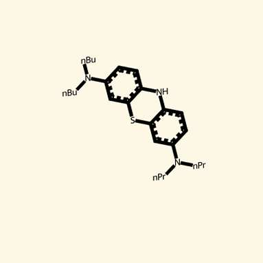 CCCCN(CCCC)c1ccc2c(c1)Sc1cc(N(CCC)CCC)ccc1N2